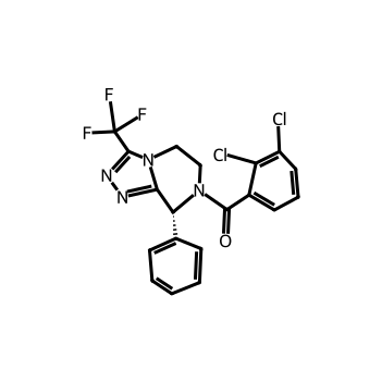 O=C(c1cccc(Cl)c1Cl)N1CCn2c(nnc2C(F)(F)F)[C@H]1c1ccccc1